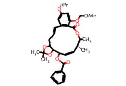 CCCOc1cc2c(c(OCOC)c1)C(=O)OC(C)[C@H](C)/C=C\C(OC(=O)c1ccccc1)C1OC(C)(C)OC1C/C=C/2